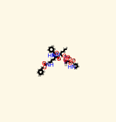 CCCCC(CO[PH](=O)OC(C)C(=O)OC(=O)[C@@H]1CCCN1)NC(=O)C(CCCCNC(=O)OCc1ccccc1)NC(=O)C1CCCCC1